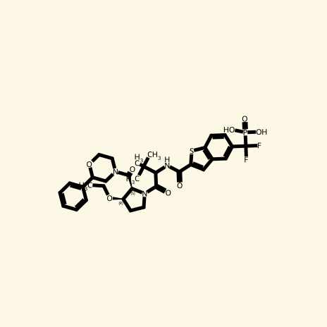 CCO[C@@H]1CCN(C(=O)C(NC(=O)c2cc3cc(C(F)(F)P(=O)(O)O)ccc3s2)C(C)(C)C)[C@@H]1C(=O)N1CCOC(c2ccccc2)C1